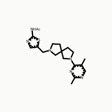 CC(=O)Nc1ncc(CN2CCC3(CCN(c4nc(C)ncc4C)C3)C2)s1